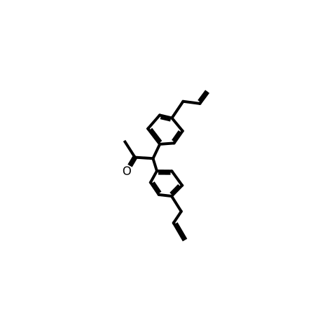 C=CCc1ccc(C(C(C)=O)c2ccc(CC=C)cc2)cc1